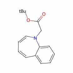 CC(C)(C)OC(=O)CN1C=CC=Cc2ccccc21